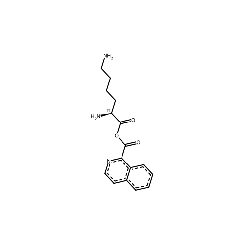 NCCCC[C@H](N)C(=O)OC(=O)c1nccc2ccccc12